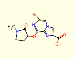 CN1CCC(Oc2nc(Br)cn3cc(C(=O)O)nc23)C1=O